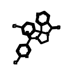 O=C(c1ccc(Cl)nc1)N1CCN2C(=O)c3ccncc3C12c1ccc(Cl)cc1